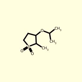 CC(C)OC1CCS(=O)(=O)C1C